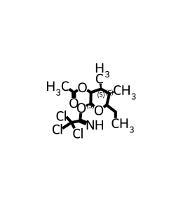 CCC1O[C@@H](OC(=N)C(Cl)(Cl)Cl)C(OC(C)=O)[C@@H](C)[C@@H]1C